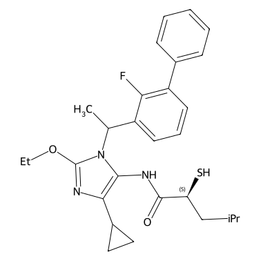 CCOc1nc(C2CC2)c(NC(=O)[C@@H](S)CC(C)C)n1C(C)c1cccc(-c2ccccc2)c1F